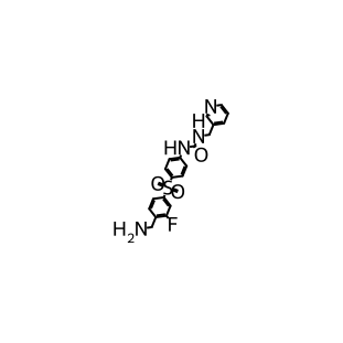 NCc1ccc(S(=O)(=O)c2ccc(NC(=O)NCc3cccnc3)cc2)cc1F